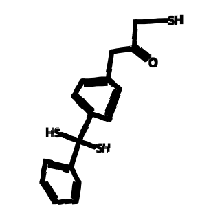 O=C(CS)Cc1ccc(C(S)(S)c2ccccc2)cc1